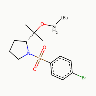 CC(C)(C)[SiH2]OC(C)(C)[C@H]1CCCN1S(=O)(=O)c1ccc(Br)cc1